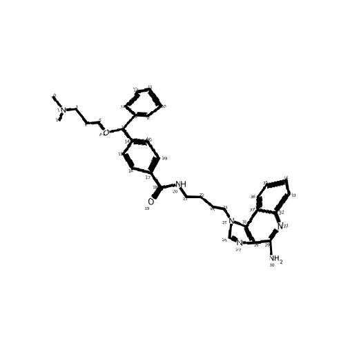 CN(C)CCCOC(c1ccccc1)c1ccc(C(=O)NCCCCn2cnc3c(N)nc4ccccc4c32)cc1